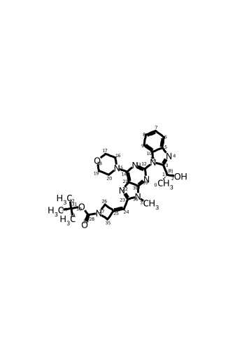 C[C@@H](O)c1nc2ccccc2n1-c1nc(N2CCOCC2)c2nc(C=C3CN(C(=O)OC(C)(C)C)C3)n(C)c2n1